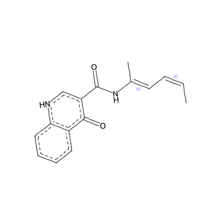 C/C=C\C=C(/C)NC(=O)c1c[nH]c2ccccc2c1=O